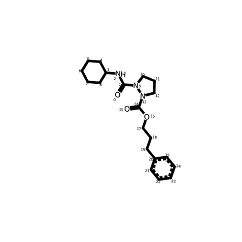 O=C(NC1CCCCC1)N1CCCN1C(=O)OCCCc1ccccc1